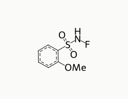 COc1ccccc1S(=O)(=O)NF